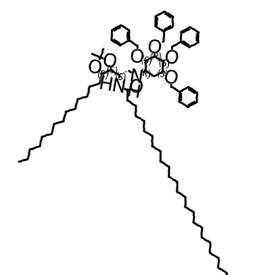 CCCCCCCCCCCCCCCCCCCCCCCCCC(=O)N[C@@H](CN[C@@H]1C[C@H](OCc2ccccc2)[C@H](OCc2ccccc2)[C@H](OCc2ccccc2)[C@H]1OCc1ccccc1)[C@@H]1OC(C)(C)O[C@@H]1CCCCCCCCCCCCCC